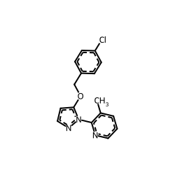 Cc1cccnc1-n1nccc1OCc1ccc(Cl)cc1